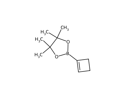 CC1(C)OB(C2=CCC2)OC1(C)C